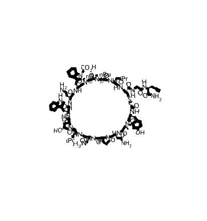 C#CC[C@H](NC(=O)CNC(=O)[C@@H]1CSCC(=O)N[C@@H](Cc2ccc(O)cc2)C(=O)N(C)[C@@H](C)C(=O)N[C@@H](CC(N)=O)C(=O)N2CCC[C@H]2C(=O)N[C@@H](CN)C(=O)N[C@@H](CC(C)C)C(=O)N2C[C@H](O)C[C@H]2C(=O)N[C@@H](Cc2c[nH]c3ccccc23)C(=O)N[C@@H](CCN)C(=O)N[C@@H](Cc2cn(CC(=O)O)c3ccccc23)C(=O)N(C)[C@@H](CCCC)C(=O)N(C)[C@@H](CCCC)C(=O)N[C@@H](CC(C)C)C(=O)N1)C(N)=O